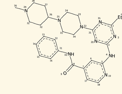 CCc1nc(Nc2cc(C(=O)Nc3ccccc3)ccn2)nc(N2CCN(C3CCN(C)CC3)CC2)n1